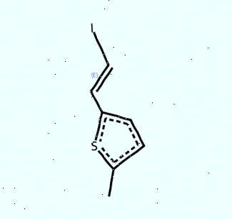 Cc1ccc(/C=C/I)s1